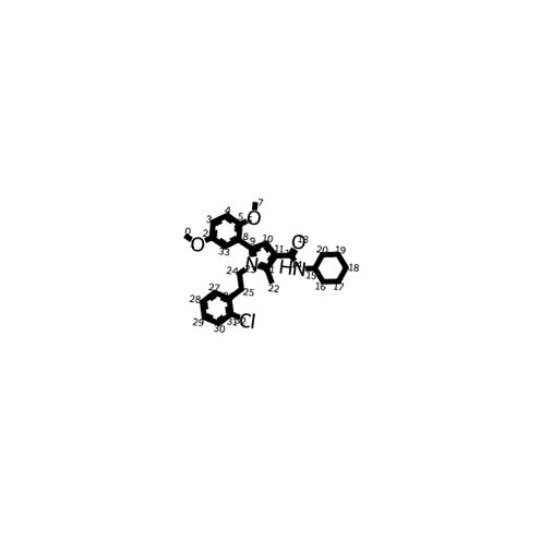 COc1ccc(OC)c(-c2cc(C(=O)NC3CCCCC3)c(C)n2CCc2ccccc2Cl)c1